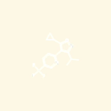 CC(C)c1noc(C2CC2)c1-c1ccc(C(F)(F)F)cn1